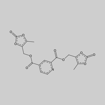 Cc1oc(=O)oc1COC(=O)c1ccnc(C(=O)OCc2oc(=O)oc2C)c1